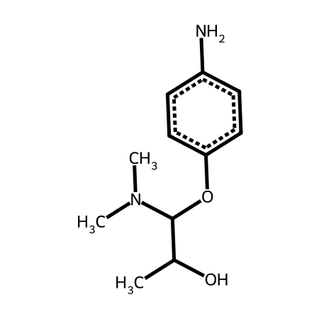 CC(O)C(Oc1ccc(N)cc1)N(C)C